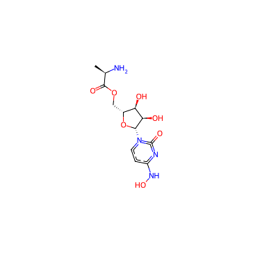 C[C@@H](N)C(=O)OC[C@H]1O[C@@H](n2ccc(NO)nc2=O)[C@H](O)[C@@H]1O